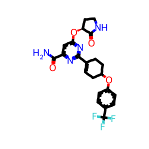 NC(=O)c1cc(O[C@H]2CCNC2=O)nc(C2=CCC(Oc3ccc(C(F)(F)F)cc3)CC2)n1